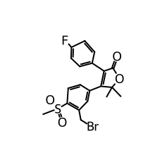 CC1(C)OC(=O)C(c2ccc(F)cc2)=C1c1ccc(S(C)(=O)=O)c(CBr)c1